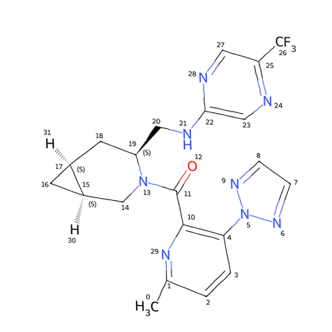 Cc1ccc(-n2nccn2)c(C(=O)N2C[C@H]3C[C@H]3C[C@H]2CNc2cnc(C(F)(F)F)cn2)n1